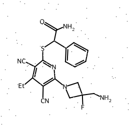 CCc1c(C#N)c(SC(C(N)=O)c2ccccc2)nc(N2CC(F)(CN)C2)c1C#N